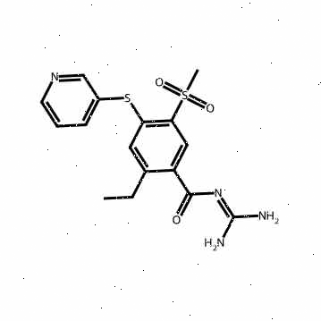 CCc1cc(Sc2cccnc2)c(S(C)(=O)=O)cc1C(=O)N=C(N)N